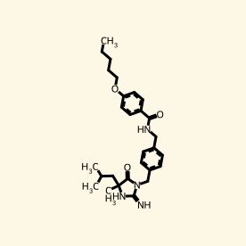 CCCCCOc1ccc(C(=O)NCc2ccc(CN3C(=N)NC(C)(CC(C)C)C3=O)cc2)cc1